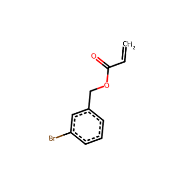 C=CC(=O)OCc1cccc(Br)c1